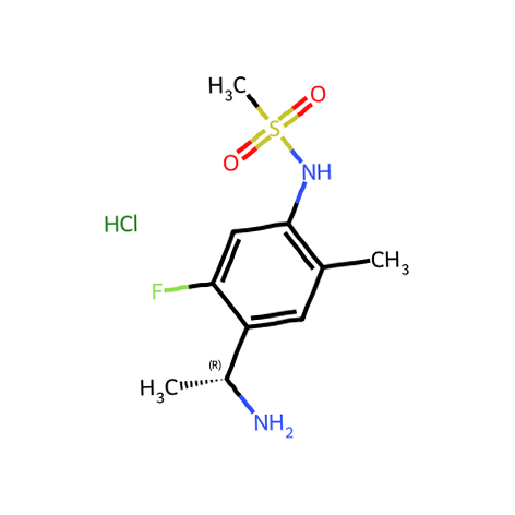 Cc1cc([C@@H](C)N)c(F)cc1NS(C)(=O)=O.Cl